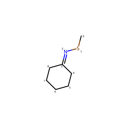 CSN=C1CCCCC1